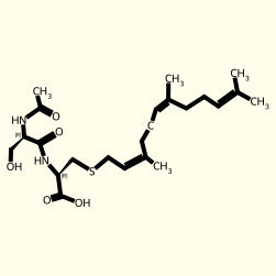 CC(=O)N[C@H](CO)C(=O)N[C@@H](CSCC=C(C)CCC=C(C)CCC=C(C)C)C(=O)O